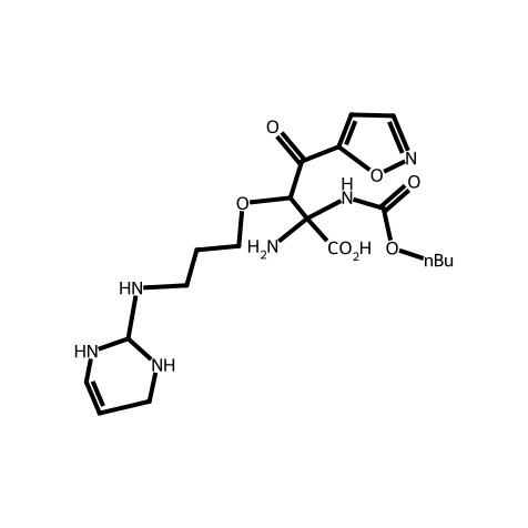 CCCCOC(=O)NC(N)(C(=O)O)C(OCCCNC1NC=CCN1)C(=O)c1ccno1